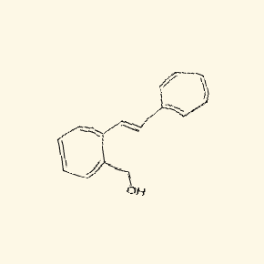 OCc1ccccc1C=Cc1ccccc1